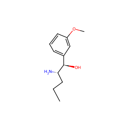 CCC[C@H](N)[C@H](O)c1cccc(OC)c1